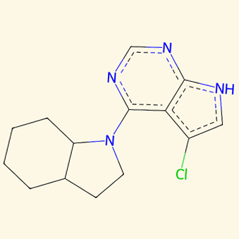 Clc1c[nH]c2ncnc(N3CCC4CCCCC43)c12